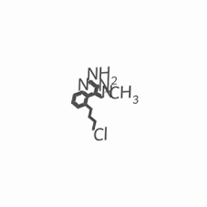 Cn1cc2c(n1)c(N)nc1cccc(CCCCCl)c12